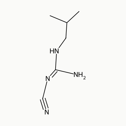 CC(C)CN/C(N)=N/C#N